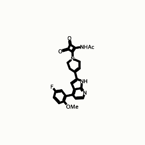 COc1ccc(F)cc1-c1ccnc2[nH]c(C3=CCN(c4c(NC(C)=O)c(=O)c4=O)CC3)cc12